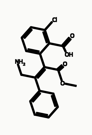 COC(=O)C(=C(CN)c1ccccc1)c1cccc(Cl)c1C(=O)O